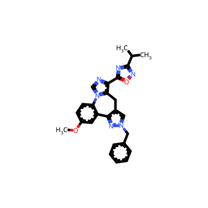 COc1ccc2c(c1)-c1nn(Cc3ccccc3)cc1Cc1c(-c3nc(C(C)C)no3)ncn1-2